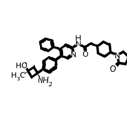 C[C@]1(O)C[C@@](N)(c2ccc(-c3cnc(NC(=O)CC4CCC(N5CCCC5=O)CC4)cc3-c3ccccc3)cc2)C1